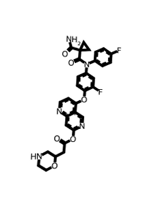 NC(=O)C1(C(=O)N(c2ccc(F)cc2)c2ccc(Oc3ccnc4cc(OC(=O)CC5CNCCO5)ncc34)c(F)c2)CC1